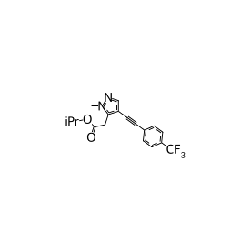 CC(C)OC(=O)Cc1c(C#Cc2ccc(C(F)(F)F)cc2)cnn1C